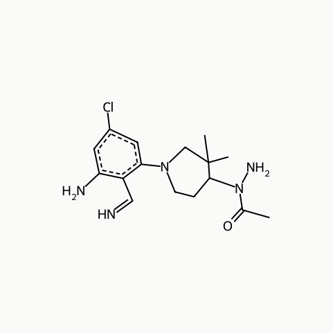 CC(=O)N(N)C1CCN(c2cc(Cl)cc(N)c2C=N)CC1(C)C